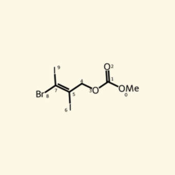 COC(=O)OCC(I)=C(Br)I